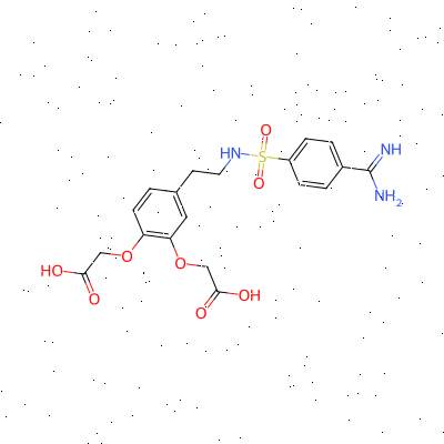 N=C(N)c1ccc(S(=O)(=O)NCCc2ccc(OCC(=O)O)c(OCC(=O)O)c2)cc1